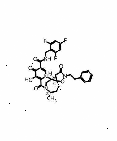 C[C@H]1CC[C@]2(CC(=O)N(CCc3ccccc3)O2)[C@H]2CN1C(=O)c1c(O)c(=O)c(C(=O)NCc3c(F)cc(F)cc3F)cn12